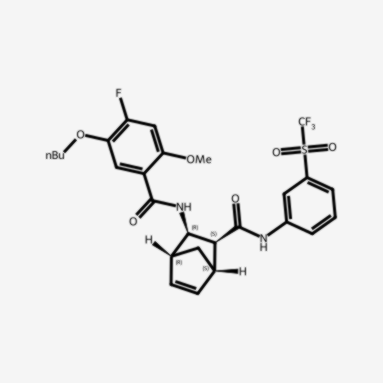 CCCCOc1cc(C(=O)N[C@H]2[C@@H](C(=O)Nc3cccc(S(=O)(=O)C(F)(F)F)c3)[C@@H]3C=C[C@H]2C3)c(OC)cc1F